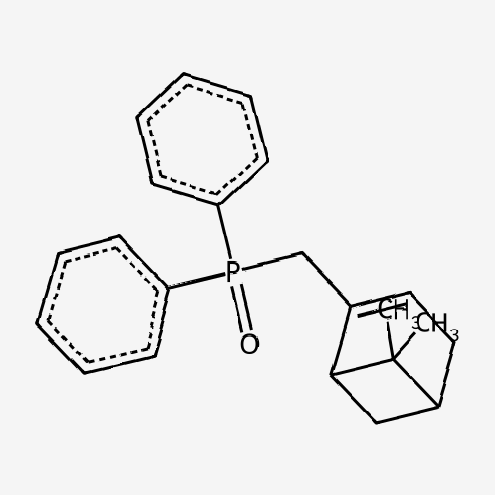 CC1(C)C2CC=C(CP(=O)(c3ccccc3)c3ccccc3)C1C2